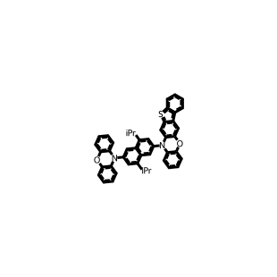 CC(C)c1cc(N2c3ccccc3Oc3cc4c(cc32)sc2ccccc24)cc2c(C(C)C)cc(N3c4ccccc4Oc4ccccc43)cc12